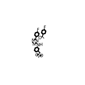 C[C@@H](Oc1cc(F)ccc1-c1ncnc(Nc2cccc(CS(C)(=O)=O)c2)n1)c1ccc(F)cc1